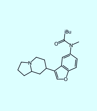 CCC(C)C(=O)N(C)c1ccc2occ(C3CCN4CCCC4C3)c2c1